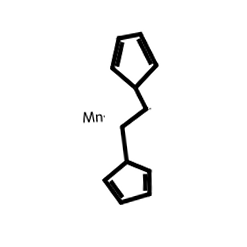 [CH](CC1C=CC=C1)C1C=CC=C1.[Mn]